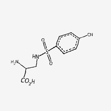 N#Cc1ccc(S(=O)(=O)NCC(N)C(=O)O)cc1